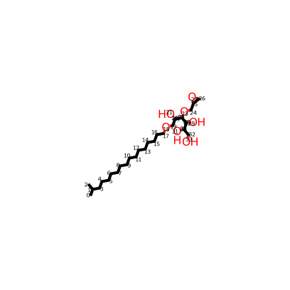 CC(C)CCCCCCCCCCCCCCCOC[C@H](O)[C@@H](OCC1CO1)[C@H](O)[C@H](O)CO